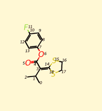 CC(C)C(C(=O)Oc1ccc(F)cc1)=C1SCCS1